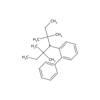 CCC(C)(C)P(c1ccccc1-c1ccccc1)C(C)(C)CC